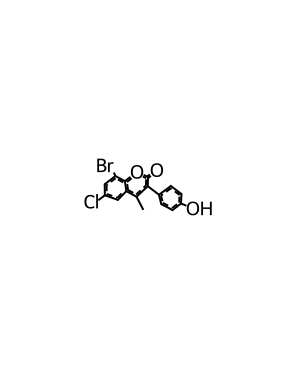 Cc1c(-c2ccc(O)cc2)c(=O)oc2c(Br)cc(Cl)cc12